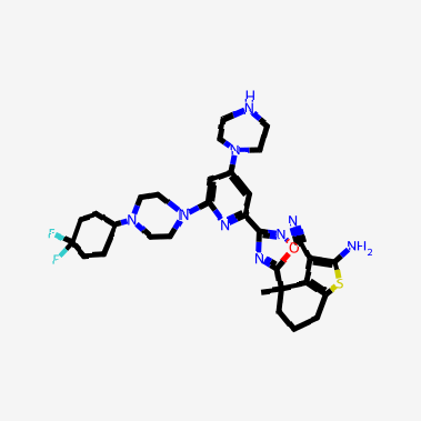 CC1(c2nc(-c3cc(N4CCNCC4)cc(N4CCN(C5CCC(F)(F)CC5)CC4)n3)no2)CCCc2sc(N)c(C#N)c21